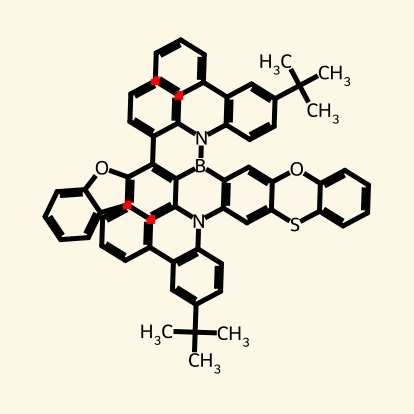 CC(C)(C)c1ccc(N2B3c4cc5c(cc4N(c4ccc(C(C)(C)C)cc4-c4ccccc4)c4cc6c(oc7ccccc76)c(c43)-c3ccccc32)Sc2ccccc2O5)c(-c2ccccc2)c1